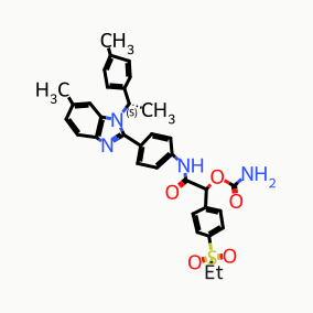 CCS(=O)(=O)c1ccc(C(OC(N)=O)C(=O)Nc2ccc(-c3nc4ccc(C)cc4n3[C@@H](C)c3ccc(C)cc3)cc2)cc1